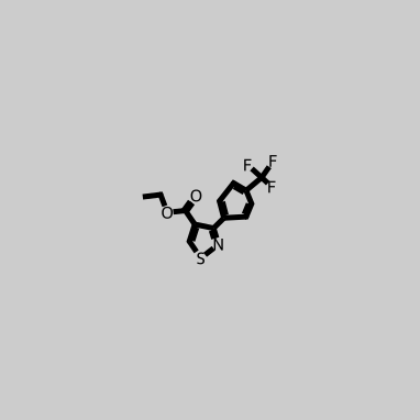 CCOC(=O)c1csnc1-c1ccc(C(F)(F)F)cc1